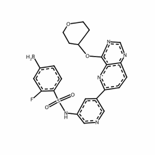 Bc1ccc(S(=O)(=O)Nc2cncc(-c3ccc4ncnc(OC5CCOCC5)c4n3)c2)c(F)c1